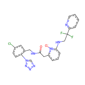 O=C(Cc1cccc(NCC(F)(F)c2ccccn2)[n+]1[O-])NCc1cc(Cl)ccc1-n1cnnn1